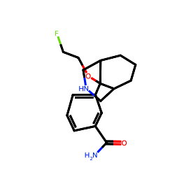 NC(=O)c1cccc(C2(OCCF)C3CCCC2CNC3)c1